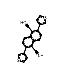 C#Cc1c(-c2ccsc2)ccc2c(C#C)c(-c3ccsc3)ccc12